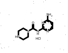 Cl.Nc1ccnc(NC(=O)N2CCNCC2)n1